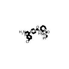 CC(C)CNC(=O)N1CCCC[C@H](NC(=O)N2CCN(c3cc(N)nc4cc(Cl)ccc34)CC2)C1=O